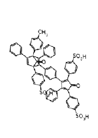 Cc1ccc([C@@]23C(=O)[C@@](c4ccc(S(=O)(=O)O)cc4)(C=C2c2ccccc2)C(c2ccc(C4=C(c5ccc(S(=O)(=O)O)cc5)C(=O)C(c5ccc(S(=O)(=O)O)cc5)=C4c4ccccc4)cc2)=C3c2ccccc2)cc1